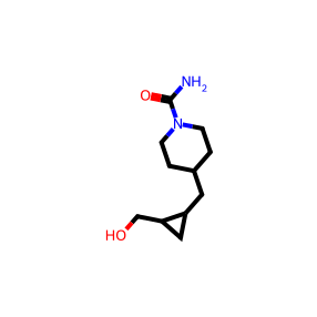 NC(=O)N1CCC(CC2CC2CO)CC1